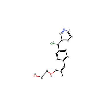 CC(=Cc1ccc(C(Cl)c2cccnc2)cc1)COCCO